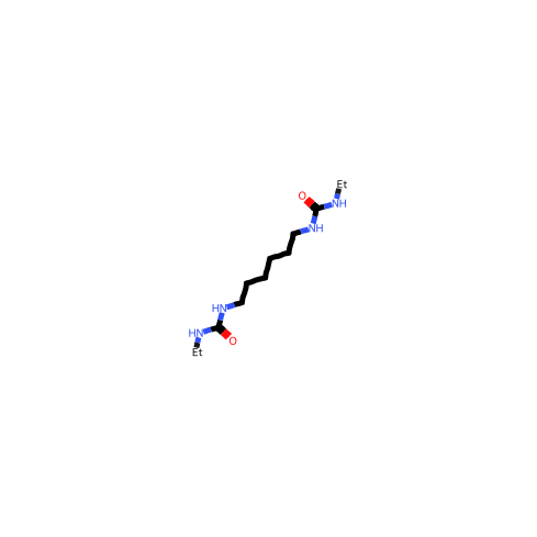 CCNC(=O)NCCCCCCNC(=O)NCC